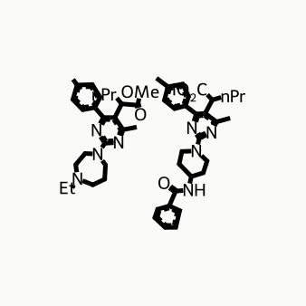 CCCC(C(=O)O)c1c(C)nc(N2CCC(NC(=O)c3ccccc3)CC2)nc1-c1ccc(C)cc1.CCCC(C(=O)OC)c1c(C)nc(N2CCCN(CC)CC2)nc1-c1ccc(C)cc1